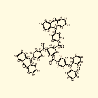 O=C(c1ccc(N2c3ccccc3Oc3ccccc32)cc1)c1cc(C(=O)c2ccc(N3c4ccccc4Oc4ccccc43)cc2)cc(C(=O)c2ccc(N3c4ccccc4Oc4ccccc43)cc2)c1